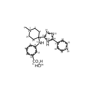 CN1CCC(Nc2cccc(C(=O)O)c2)(c2nnc(-c3ccncc3)[nH]2)CC1.Cl